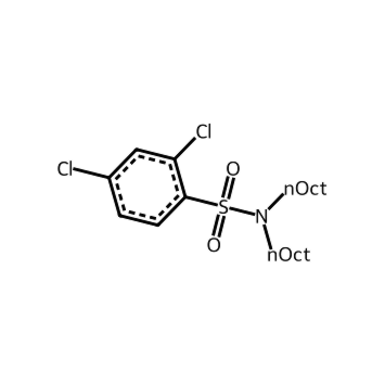 CCCCCCCCN(CCCCCCCC)S(=O)(=O)c1ccc(Cl)cc1Cl